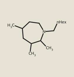 CCCCCCCN1CCC(C)CC(C)C1C